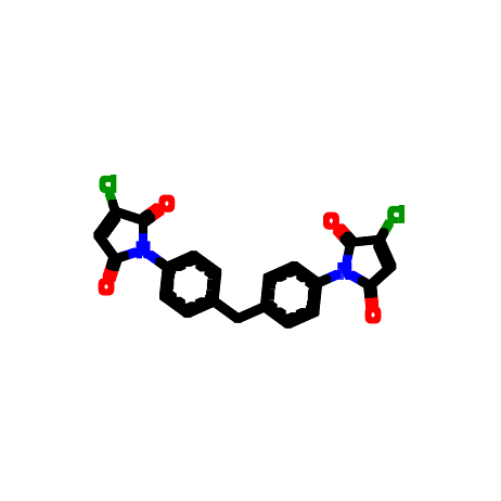 O=C1C=C(Cl)C(=O)N1c1ccc(Cc2ccc(N3C(=O)C=C(Cl)C3=O)cc2)cc1